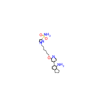 Nc1c(-c2ccnc(OCCCCCCn3ccc(S(N)(=O)=O)n3)c2)ccc2c1CCC2